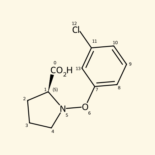 O=C(O)[C@@H]1CCCN1Oc1cccc(Cl)c1